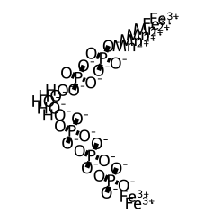 O=P([O-])([O-])[O-].O=P([O-])([O-])[O-].O=P([O-])([O-])[O-].O=P([O-])([O-])[O-].O=P([O-])([O-])[O-].[Fe+3].[Fe+3].[Fe+3].[Fe+3].[Mn+2].[Mn+2].[Mn+2].[Mn+2].[OH-].[OH-].[OH-].[OH-].[OH-]